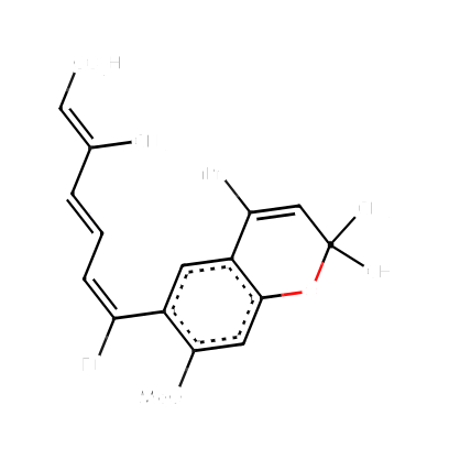 CC/C(=C/C=C/C(C)=C/C(=O)O)c1cc2c(cc1OC)OC(C)(C)C=C2C(C)C